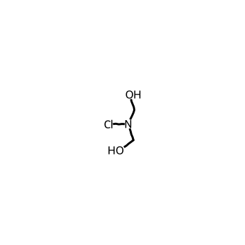 OCN(Cl)CO